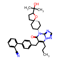 CCCc1c(Cc2ccc(-c3ccccc3C#N)cc2)c(=O)n([C@H]2CC[C@@]3(CCC(C(C)(C)O)O3)CC2)c2ncnn12